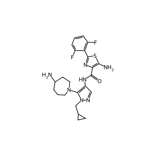 Nc1sc(-c2c(F)cccc2F)nc1C(=O)Nc1cnn(CC2CC2)c1N1CCCC(N)CC1